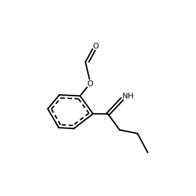 CCCC(=N)c1ccccc1OC=O